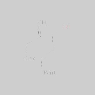 C=CCOC(C)=O.CCCCCC=CCO